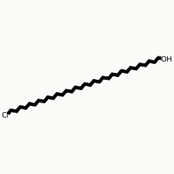 OCCCCCCCCCCCCCCCCCCCCCCCCCCCCCCCCCCl